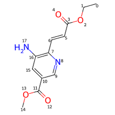 CCOC(=O)/C=C/c1ncc(C(=O)OC)cc1N